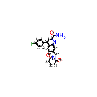 NC(=O)c1cc(-c2ccc(F)cc2)c2ccc(CN3C(=O)CCCC3=O)cc2n1